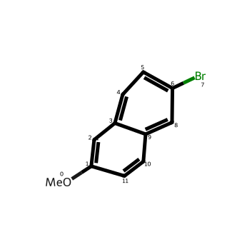 COc1[c]c2ccc(Br)cc2cc1